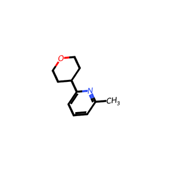 Cc1cccc(C2CCOCC2)n1